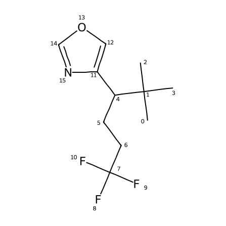 CC(C)(C)C(CCC(F)(F)F)c1cocn1